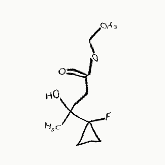 CCOC(=O)CC(C)(O)C1(F)CC1